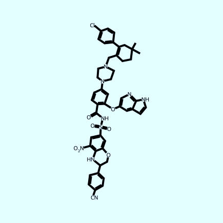 CC1(C)CCC(CN2CCN(c3ccc(C(=O)NS(=O)(=O)c4cc5c(c([N+](=O)[O-])c4)NC(c4ccc(C#N)cc4)CO5)c(Oc4cnc5[nH]ccc5c4)c3)CC2)=C(c2ccc(Cl)cc2)C1